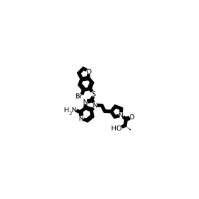 C[C@H](O)C(=O)N1CCC(CCn2c(Sc3cc4c(cc3Br)CCO4)nc3c(N)nccc32)C1